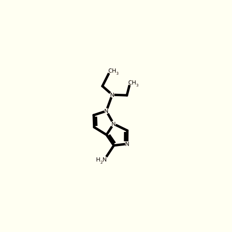 CCN(CC)n1ccc2c(N)ncn21